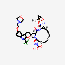 CC1(S(=O)(=O)NC(=O)[C@@]23C[C@H]2/C=C\CCCCC[C@H](NC(=O)O)C(=O)N2C[C@@]4(CCc5c(c(C(F)(F)F)nc6ccc(OCCN7CCOCC7)cc56)O4)C[C@H]2C(=O)N3)CC1